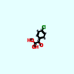 O=C(c1ccc(Cl)cc1)C(O)O